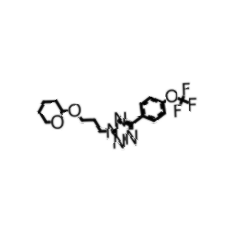 FC(F)(F)Oc1ccc(-c2nnn(CCCOC3CCCCO3)n2)cc1